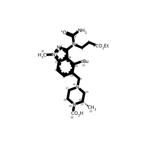 CCOC(=O)CCN(C(N)=O)c1nn(C)c2ccc(CN3CCN(C(=O)O)[C@@H](C)C3)c(C(C)(C)C)c12